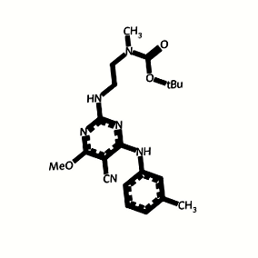 COc1nc(NCCN(C)C(=O)OC(C)(C)C)nc(Nc2cccc(C)c2)c1C#N